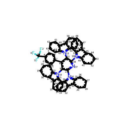 FC(F)(F)c1ccc(-c2c(-n3c4ccccc4c4ccccc43)c(-n3c4ccccc4c4ccccc43)nc(-n3c4ccccc4c4ccccc43)c2-n2c3ccccc3c3ccccc32)cc1